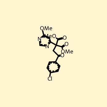 COC(=O)C(CC(=O)c1ccc(Cl)cc1)(C(=O)OC)c1cc(OC)ncn1